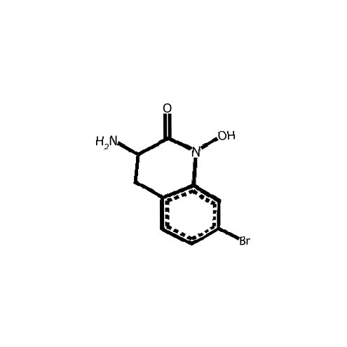 NC1Cc2ccc(Br)cc2N(O)C1=O